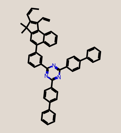 C=CC1=C(/C=C\C)C(C)(C)c2cc(-c3cccc(-c4nc(-c5ccc(-c6ccccc6)cc5)nc(-c5ccc(-c6ccccc6)cc5)n4)c3)c3ccccc3c21